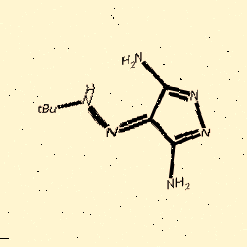 CC(C)(C)NN=C1C(N)=NN=C1N